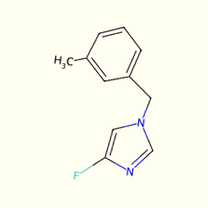 Cc1cccc(Cn2cnc(F)c2)c1